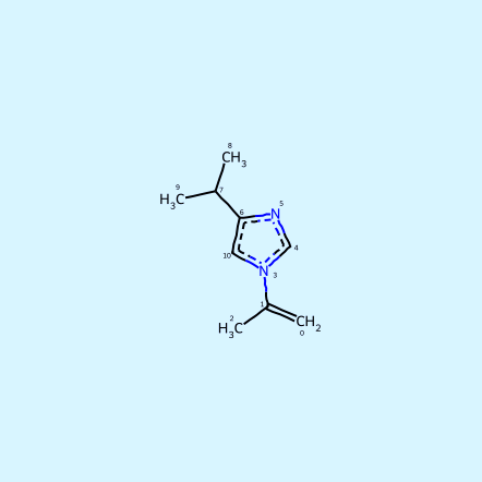 C=C(C)n1cnc(C(C)C)c1